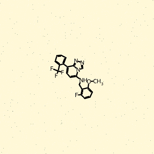 COc1cccc(F)c1CNc1ccc(-c2ccccc2C(F)(F)F)c2nncn12